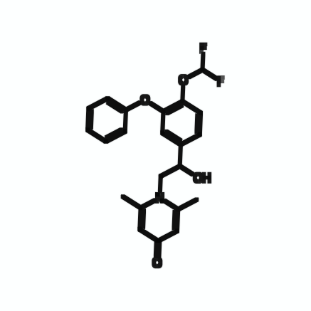 Cc1cc(=O)cc(C)n1CC(O)c1ccc(OC(F)F)c(Oc2ccccc2)c1